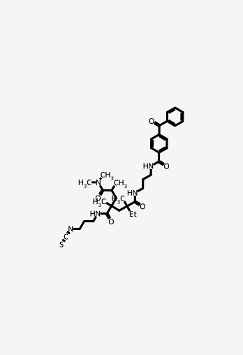 CCC(C)(CC(C)(CC(C)C(=O)N(C)C)C(=O)NCCCN=C=S)C(=O)NCCCNC(=O)c1ccc(C(=O)c2ccccc2)cc1